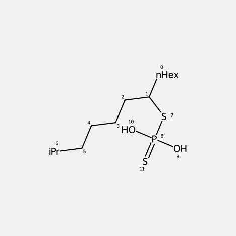 CCCCCCC(CCCCC(C)C)SP(O)(O)=S